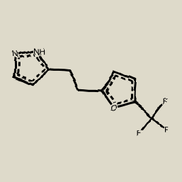 FC(F)(F)c1ccc(CCc2ccn[nH]2)o1